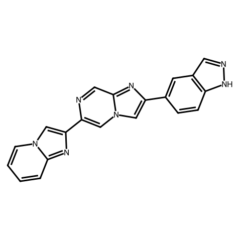 c1ccn2cc(-c3cn4cc(-c5ccc6[nH]ncc6c5)nc4cn3)nc2c1